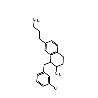 NCCCc1ccc2c(c1)C(Cc1cccc(Cl)c1)C(N)CC2